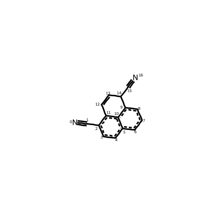 N#Cc1ccc2cccc3c2c1C=CC3C#N